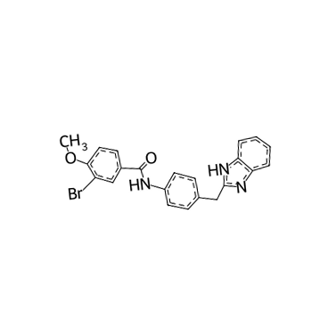 COc1ccc(C(=O)Nc2ccc(Cc3nc4ccccc4[nH]3)cc2)cc1Br